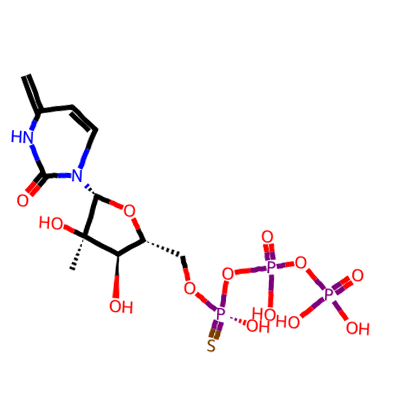 C=C1C=CN([C@@H]2O[C@H](CO[P@](O)(=S)OP(=O)(O)OP(=O)(O)O)[C@@H](O)[C@@]2(C)O)C(=O)N1